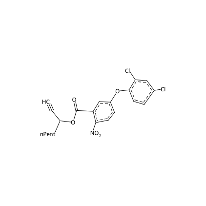 C#CC(CCCCC)OC(=O)c1cc(Oc2ccc(Cl)cc2Cl)ccc1[N+](=O)[O-]